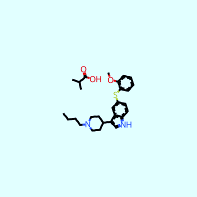 CC(C)C(=O)O.CCCCN1CCC(c2c[nH]c3ccc(Sc4ccccc4OC)cc23)CC1